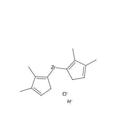 CC1=CC[C]([Zr][C]2=C(C)C(C)=CC2)=C1C.[Cl-].[H-]